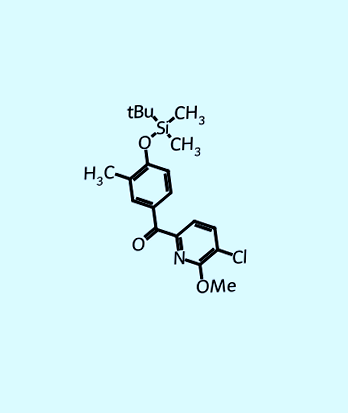 COc1nc(C(=O)c2ccc(O[Si](C)(C)C(C)(C)C)c(C)c2)ccc1Cl